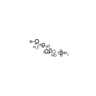 C[C@@H](c1cccc(Br)n1)n1ccc(C(=O)c2cncnc2N[C@@H]2C[C@H](COS(N)(=O)=O)[C@@H](O)C2)n1